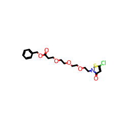 O=C(CCOCCOCCOCCn1sc(Cl)cc1=O)OCc1ccccc1